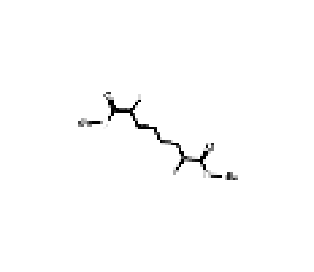 CCCCOC(=O)C(I)CCCCC(I)C(=O)OCCCC